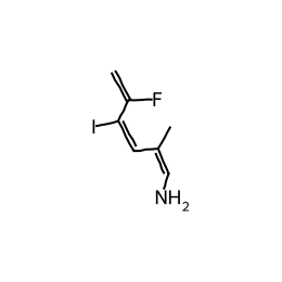 C=C(F)/C(I)=C\C(C)=C/N